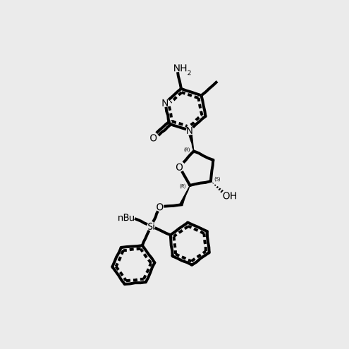 CCCC[Si](OC[C@H]1O[C@@H](n2cc(C)c(N)nc2=O)C[C@@H]1O)(c1ccccc1)c1ccccc1